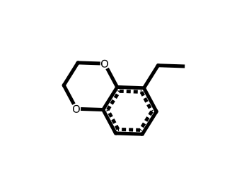 CCc1cccc2c1OCCO2